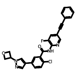 O=C(Nc1ncc(C#Cc2ccccc2)cc1F)c1cc(-c2cnn(C3COC3)c2)ccc1Cl